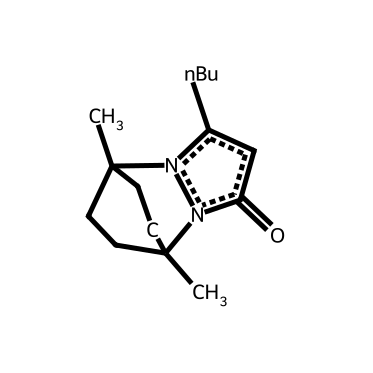 CCCCc1cc(=O)n2n1C1(C)CCC2(C)CC1